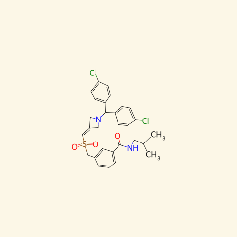 CC(C)CNC(=O)c1cccc(CS(=O)(=O)C=C2CN(C(c3ccc(Cl)cc3)c3ccc(Cl)cc3)C2)c1